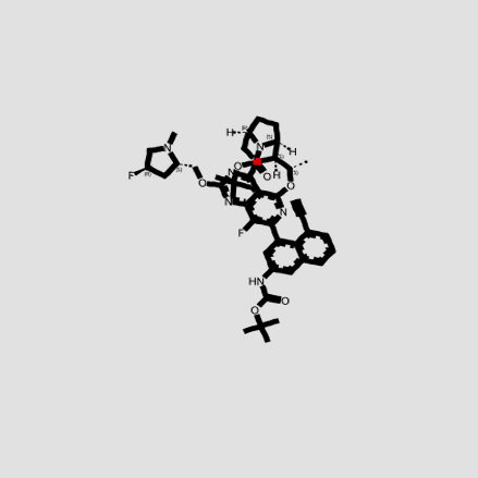 C#Cc1cccc2cc(NC(=O)OC(C)(C)C)cc(-c3nc4c5c(nc(OC[C@@H]6C[C@@H](F)CN6C)nc5c3F)N3C[C@H]5CC[C@@H]([C@H]3[C@H](C)O4)N5C(=O)OC(C)(C)C)c12